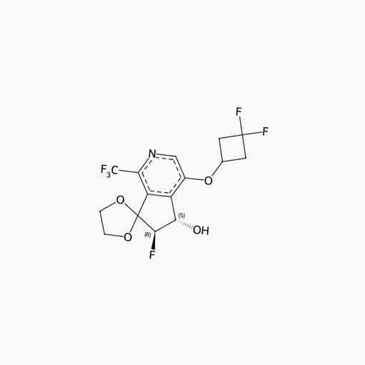 O[C@H]1c2c(OC3CC(F)(F)C3)cnc(C(F)(F)F)c2C2(OCCO2)[C@@H]1F